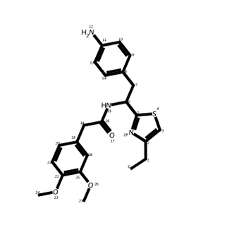 CCc1csc(C(Cc2ccc(N)cc2)NC(=O)Cc2ccc(OC)c(OC)c2)n1